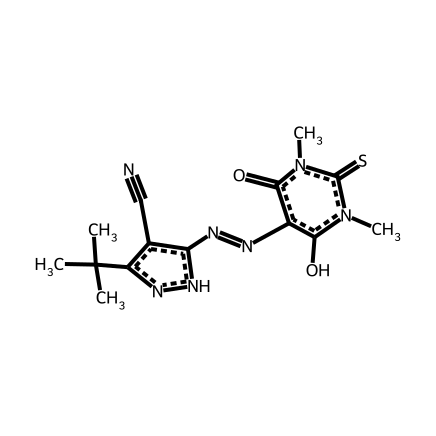 Cn1c(O)c(N=Nc2[nH]nc(C(C)(C)C)c2C#N)c(=O)n(C)c1=S